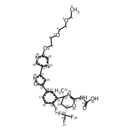 CCOCCOCCOc1cnc(-c2cc(-c3ccc(F)c([C@]4(C)C[C@@H](C(F)(F)F)OC(NC(=O)O)=N4)c3)on2)cn1